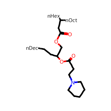 CCCCCCCCCCCCC(COC(=O)CC(CCCCCC)CCCCCCCC)OC(=O)CCN1CCCCC1